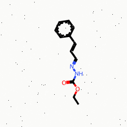 CCOC(=O)NN=CC=Cc1ccccc1